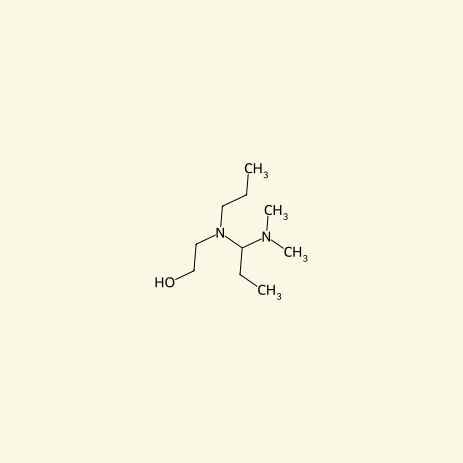 CCCN(CCO)C(CC)N(C)C